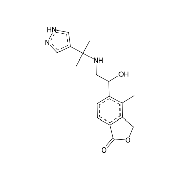 Cc1c(C(O)CNC(C)(C)c2cn[nH]c2)ccc2c1COC2=O